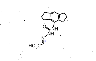 O=C(O)/C=N/NC(=O)Nc1c2c(cc3c1CCC3)CCC2